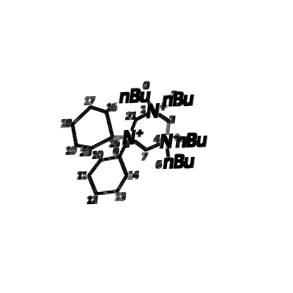 CCCC[N+]1(CCCC)C[N+](CCCC)(CCCC)C[N+](C2CCCCC2)(C2CCCCC2)C1